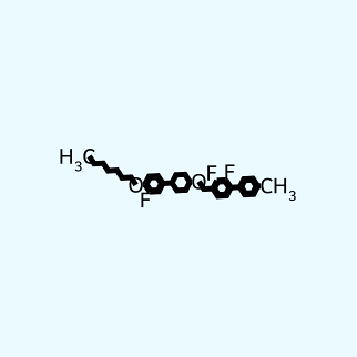 CCCCCCCOc1ccc(C2CCC(OCc3ccc(-c4ccc(C)cc4)c(F)c3F)CC2)cc1F